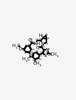 COc1cc(OC)cc(C(=O)NCC2[C@H]3CC3CN2C(=O)c2nc(C)sc2-c2cccc(C)c2)c1